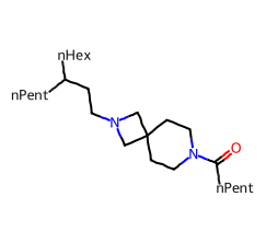 CCCCCCC(CCCCC)CCN1CC2(CCN(C(=O)CCCCC)CC2)C1